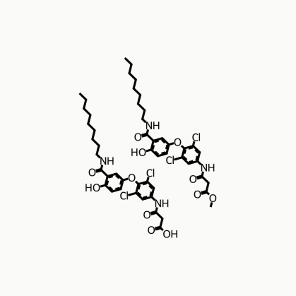 CCCCCCCCCNC(=O)c1cc(Oc2c(Cl)cc(NC(=O)CC(=O)O)cc2Cl)ccc1O.CCCCCCCCCNC(=O)c1cc(Oc2c(Cl)cc(NC(=O)CC(=O)OC)cc2Cl)ccc1O